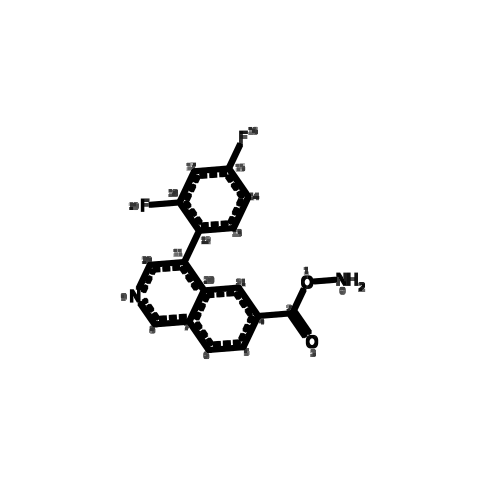 NOC(=O)c1ccc2cncc(-c3ccc(F)cc3F)c2c1